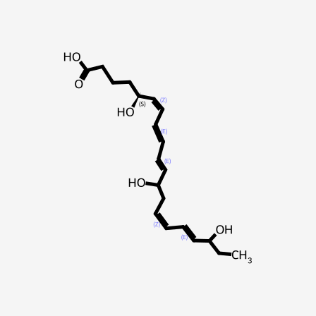 CCC(O)/C=C/C=C\CC(O)/C=C/C=C/C=C\[C@@H](O)CCCC(=O)O